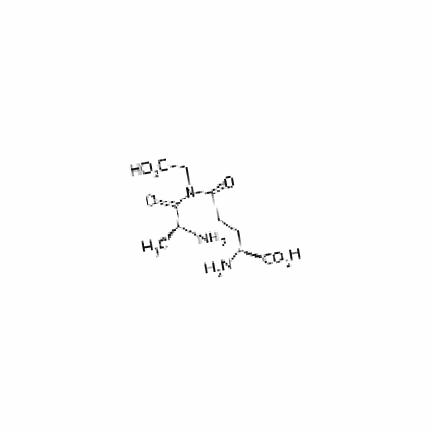 C[C@H](N)C(=O)N(CC(=O)O)C(=O)CC[C@H](N)C(=O)O